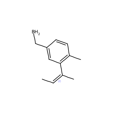 BCc1ccc(C)c(/C(C)=C\C)c1